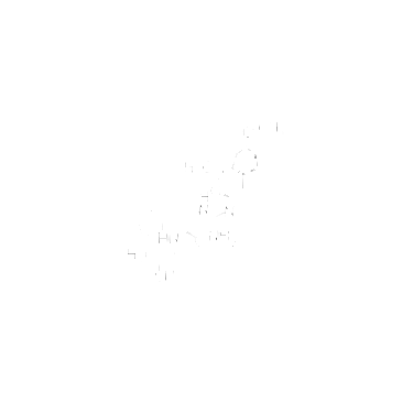 COc1ccc(CC(=O)N=C(N)NC(CC2CCCCC2)C(=O)NCC(C)C)c(OC)c1